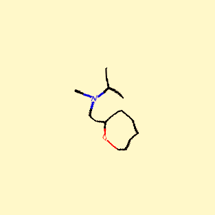 CC(C)N(C)CC1CCCCO1